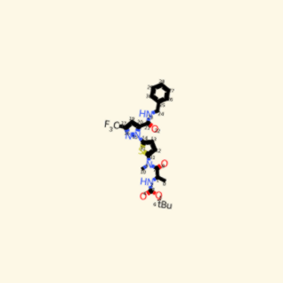 CC(NC(=O)OC(C)(C)C)C(=O)N(C)c1ccc(-n2nc(C(F)(F)F)cc2C(=O)NCc2ccccc2)s1